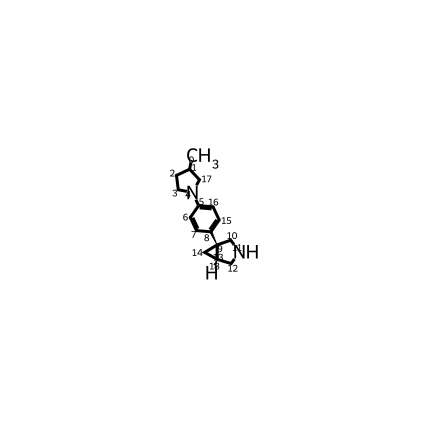 CC1CCN(c2ccc([C@@]34CNC[C@@H]3C4)cc2)C1